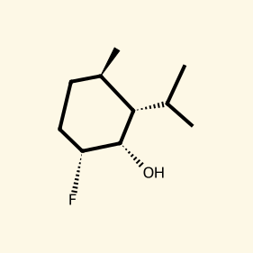 CC(C)[C@@H]1[C@H](O)[C@H](F)CC[C@H]1C